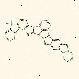 CC1(C)c2ccccc2-c2c1ccc1c2nc2n1c1cccc3c1n2c1nc2cc4c(cc2n31)oc1ccccc14